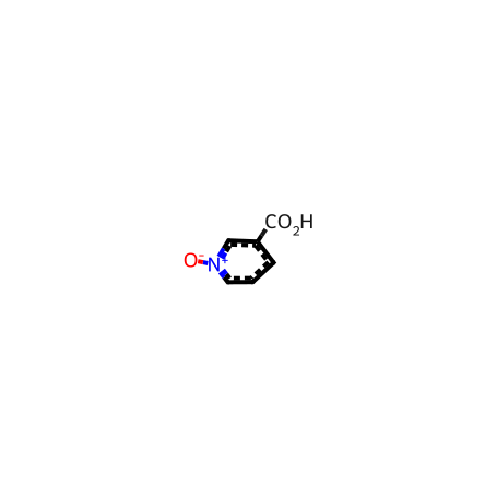 O=C(O)c1ccc[n+]([O-])c1